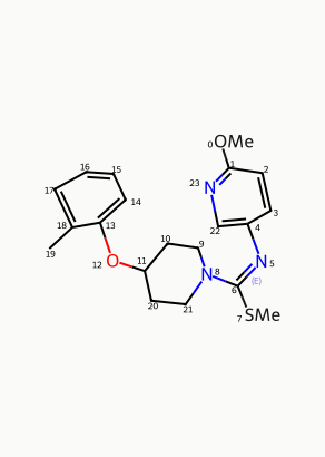 COc1ccc(/N=C(/SC)N2CCC(Oc3ccccc3C)CC2)cn1